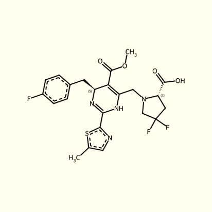 COC(=O)C1=C(CN2CC(F)(F)C[C@H]2C(=O)O)NC(c2ncc(C)s2)=N[C@H]1Cc1ccc(F)cc1